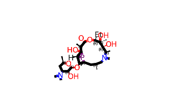 CC[C@H]1OC(=O)[C@H](C)C2(O)[C@H]3[C@@H](O[C@@H]4O[C@H](C)CC(N(C)C)[C@H]4O)[C@](C)(C[C@@H](C)CN(C)[C@H](C)[C@@H](O)[C@]1(C)O)P32